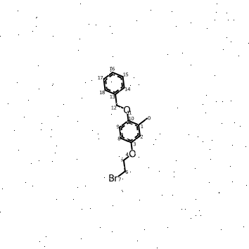 Cc1cc(OCCBr)ccc1OCc1ccccc1